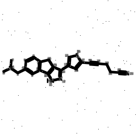 CN(C)Cc1ccc2c(c1)-c1[nH]nc(-c3csc(C#CCCC#N)c3)c1C2